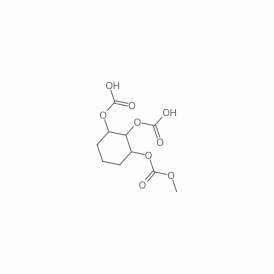 COC(=O)OC1CCCC(OC(=O)O)C1OC(=O)O